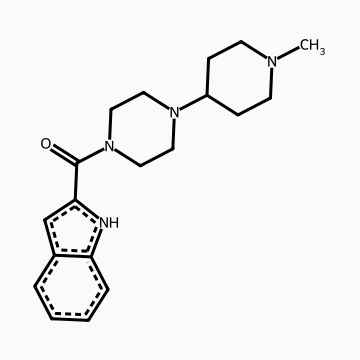 CN1CCC(N2CCN(C(=O)c3cc4ccccc4[nH]3)CC2)CC1